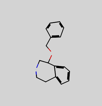 c1ccc(COC2CNCCc3ccccc32)cc1